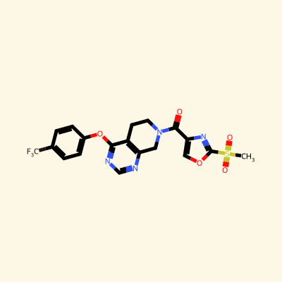 CS(=O)(=O)c1nc(C(=O)N2CCc3c(ncnc3Oc3ccc(C(F)(F)F)cc3)C2)co1